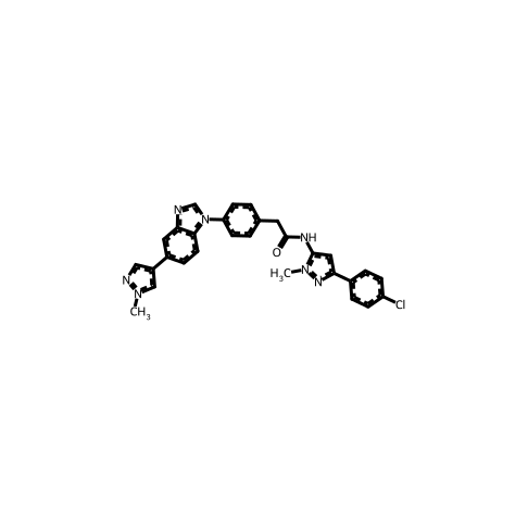 Cn1cc(-c2ccc3c(c2)ncn3-c2ccc(CC(=O)Nc3cc(-c4ccc(Cl)cc4)nn3C)cc2)cn1